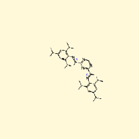 C/C(=N\c1c(C(C)C)cc(C(C)C)cc1C(C)C)c1ncnc(/C(C)=N/c2c(C(C)C)cc(C(C)C)cc2C(C)C)n1